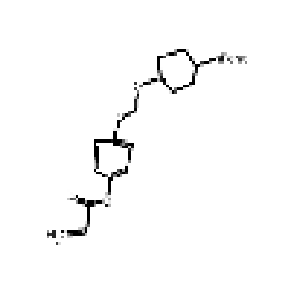 C=CC(=O)Oc1ccc(OCOC2CCC(CCCCC)CC2)cc1